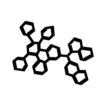 c1ccc(-c2cc(-c3ccccc3)c3c4ccccc4c4cc(N(c5ccc6ccccc6c5)c5nccc6ccccc56)ccc4c3c2-c2ccccc2)cc1